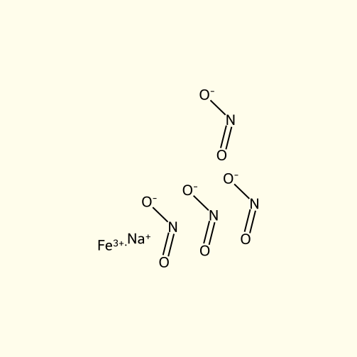 O=N[O-].O=N[O-].O=N[O-].O=N[O-].[Fe+3].[Na+]